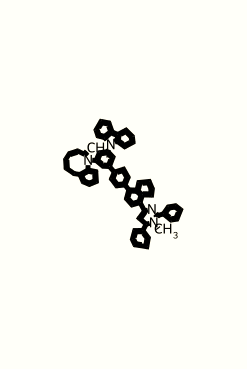 C=C1/C=C\C=C/Cc2ccccc2N1c1cc(-c2ccc(-c3ccc(C4=CC(c5ccccc5)N(C)C(c5ccccc5)=N4)c4ccccc34)cc2)cc(-n2c3ccccc3c3ccccc32)c1